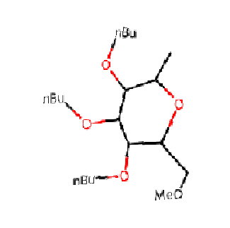 CCCCOC1C(C)OC(COC)C(OCCCC)C1OCCCC